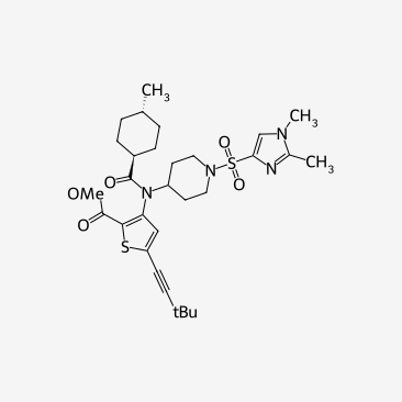 COC(=O)c1sc(C#CC(C)(C)C)cc1N(C(=O)[C@H]1CC[C@H](C)CC1)C1CCN(S(=O)(=O)c2cn(C)c(C)n2)CC1